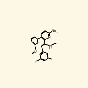 CNC(Cc1cc(F)cc(F)c1)c1nc(N)ccc1-c1ccnc(OC)c1